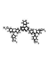 Cc1ccc(N(c2ccc(C)cc2)c2ccc(-c3nc4c5c(nc(-c6ccc(N(c7ccc(C)cc7)c7ccc(C)cc7)cc6)nc5n3)-c3ccccc3-4)cc2)cc1